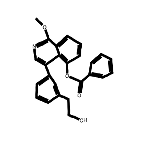 COc1ncc(-c2cccc(CCO)c2)c2c(OC(=O)c3ccccc3)cccc12